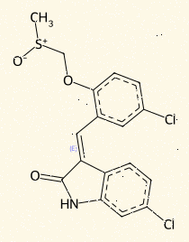 C[S+]([O-])COc1ccc(Cl)cc1/C=C1/C(=O)Nc2cc(Cl)ccc21